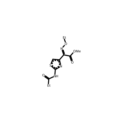 CCON=C(C(=O)OC)c1csc(NC(=O)CC)n1